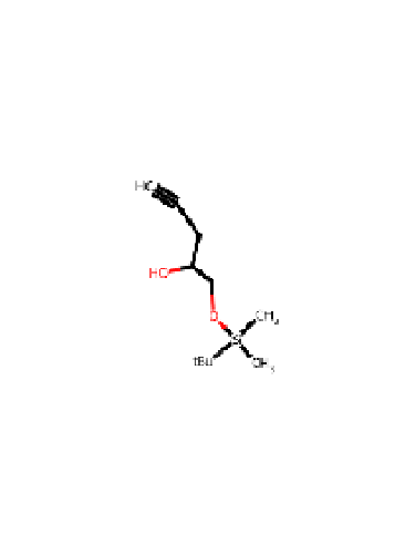 C#CCC(O)CO[Si](C)(C)C(C)(C)C